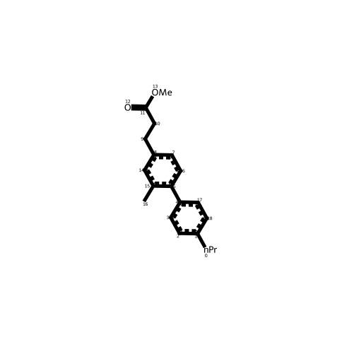 CCCc1ccc(-c2ccc(CCC(=O)OC)cc2C)cc1